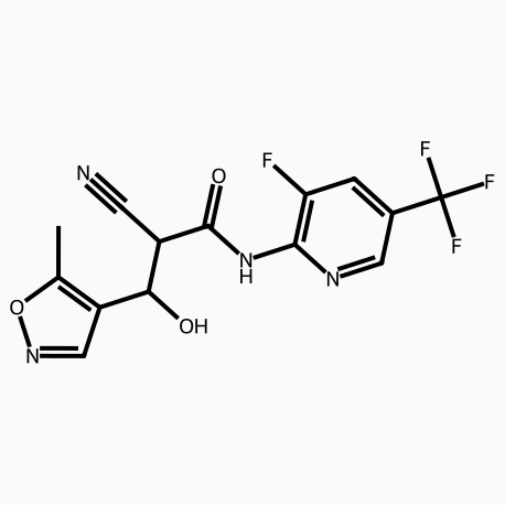 Cc1oncc1C(O)C(C#N)C(=O)Nc1ncc(C(F)(F)F)cc1F